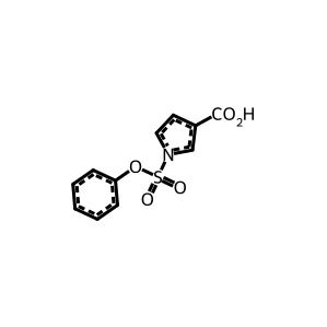 O=C(O)c1ccn(S(=O)(=O)Oc2ccccc2)c1